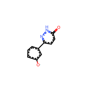 [O]c1cccc(-c2ccc(=O)[nH]n2)c1